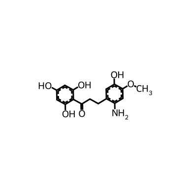 COc1cc(N)c(CCC(=O)c2c(O)cc(O)cc2O)cc1O